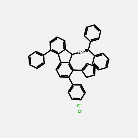 C1=CCC(c2c(-c3ccccc3)ccc3c2[CH]([Zr+2]=[C](c2ccccc2)c2ccccc2)c2cccc(-c4ccccc4)c2-3)=C1.[Cl-].[Cl-]